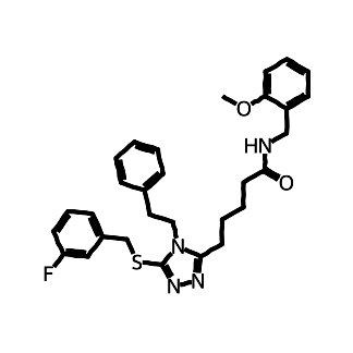 COc1ccccc1CNC(=O)CCCCc1nnc(SCc2cccc(F)c2)n1CCc1ccccc1